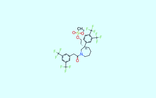 CS(=O)(=O)OCC[C@]1(c2ccc(C(F)(F)F)c(C(F)(F)F)c2)CCCCN(C(=O)Cc2cc(C(F)(F)F)cc(C(F)(F)F)c2)C1